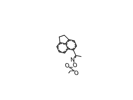 CC(=NOS(C)(=O)=O)c1ccc2c3c(cccc13)CC2